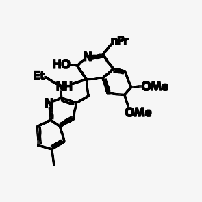 CCCC1=NC(O)C(C)(Cc2cc3cc(C)ccc3nc2NCC)C2=CC(OC)C(OC)C=C21